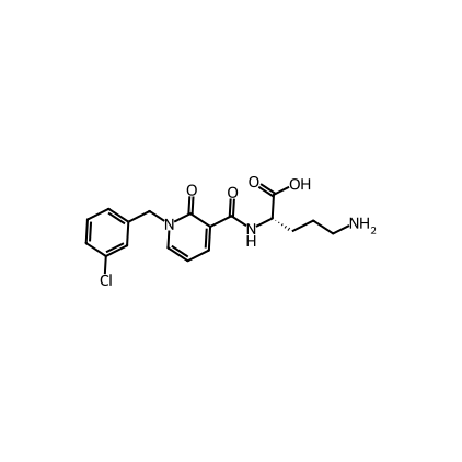 NCCC[C@H](NC(=O)c1cccn(Cc2cccc(Cl)c2)c1=O)C(=O)O